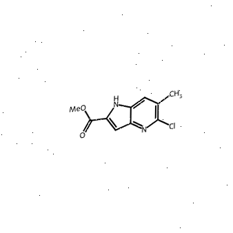 COC(=O)c1cc2nc(Cl)c(C)cc2[nH]1